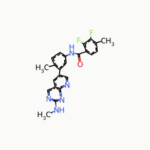 CNc1ncc2cc(-c3cc(NC(=O)c4ccc(C)c(F)c4F)ccc3C)cnc2n1